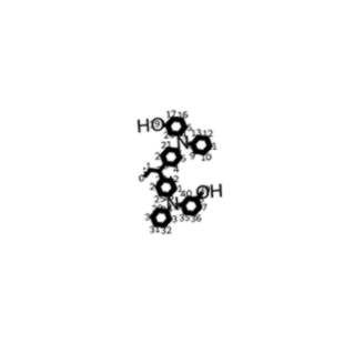 C[C]C(c1ccc(N(c2ccccc2)c2cccc(O)c2)cc1)c1ccc(N(c2ccccc2)c2cccc(O)c2)cc1